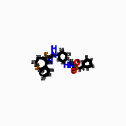 O=S(=O)(Cc1ccccc1)NC[C@H]1CC[C@H](Nc2nc3c(s2)CCSc2ccccc2-3)CC1